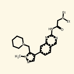 CCN(CC)CC(=O)Nc1ncc2ccc(-c3cnn(C)c3CN3CCCCC3)cc2n1